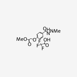 CNNC(=O)c1ccc(OCC(=O)OC)cc1.O=C(O)C(F)(F)F